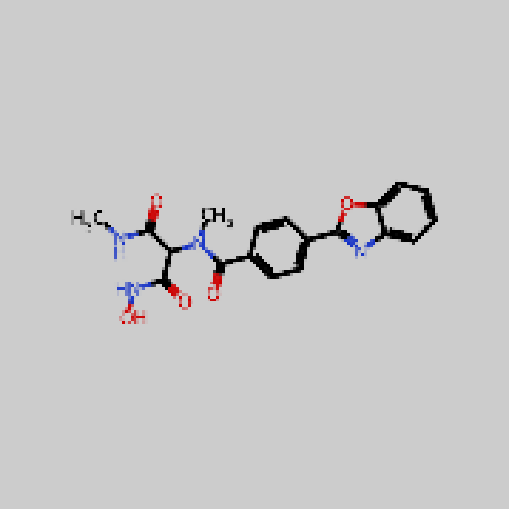 CNC(=O)C(C(=O)NO)N(C)C(=O)c1ccc(-c2nc3ccccc3o2)cc1